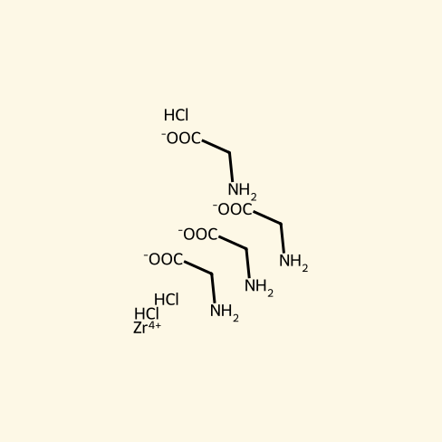 Cl.Cl.Cl.NCC(=O)[O-].NCC(=O)[O-].NCC(=O)[O-].NCC(=O)[O-].[Zr+4]